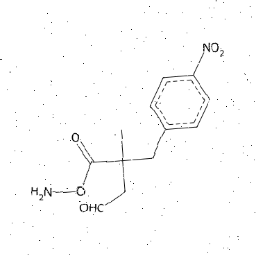 CC(CC=O)(Cc1ccc([N+](=O)[O-])cc1)C(=O)ON